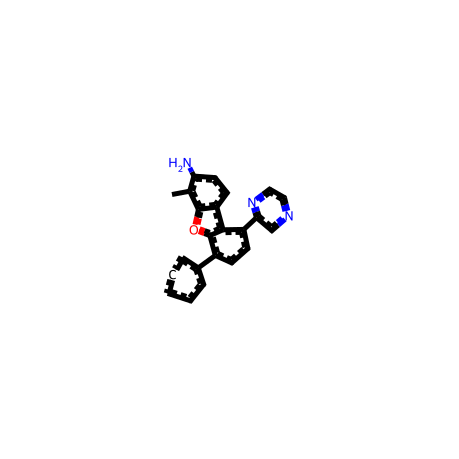 Cc1c(N)ccc2c1oc1c(-c3ccccc3)ccc(-c3cnccn3)c12